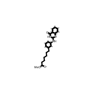 COC(=O)CCCCCCc1cccc(Nc2nc3ccccc3c(=O)[nH]2)c1